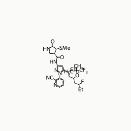 CCC(F)CC(CC(C)c1cc(NC(=O)[C@H]2CNC(=O)C2SC)nn1-c1cccnc1C#N)OC(C)(C)C(F)(F)F